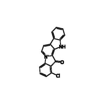 O=C1c2c(Cl)cccc2-[n+]2ccc3c([nH]c4ccccc43)c21